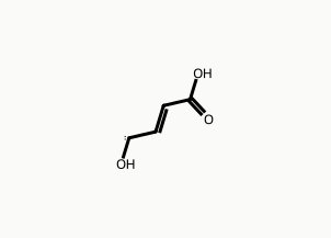 O=C(O)C=C[C]O